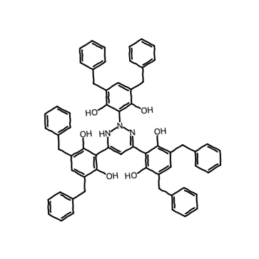 Oc1c(Cc2ccccc2)cc(Cc2ccccc2)c(O)c1C1=CC(c2c(O)c(Cc3ccccc3)cc(Cc3ccccc3)c2O)=NN(c2c(O)c(Cc3ccccc3)cc(Cc3ccccc3)c2O)N1